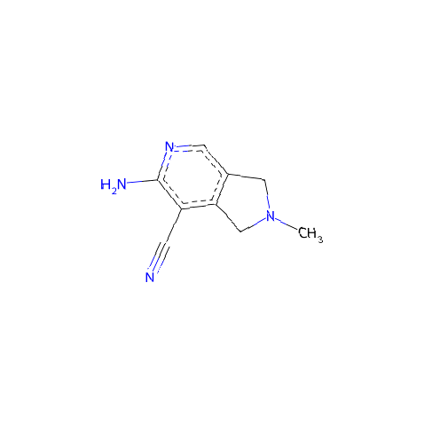 CN1Cc2cnc(N)c(C#N)c2C1